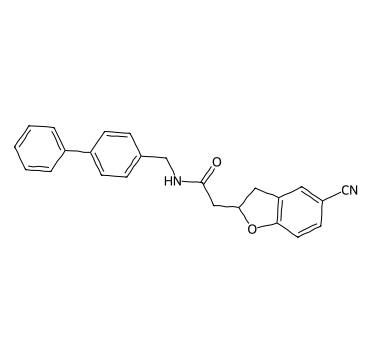 N#Cc1ccc2c(c1)CC(CC(=O)NCc1ccc(-c3ccccc3)cc1)O2